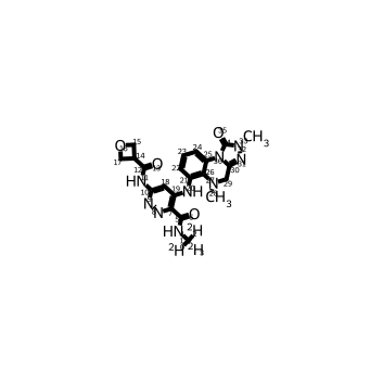 [2H]C([2H])([2H])NC(=O)c1nnc(NC(=O)C2COC2)cc1Nc1cccc2c1N(C)Cc1nn(C)c(=O)n1-2